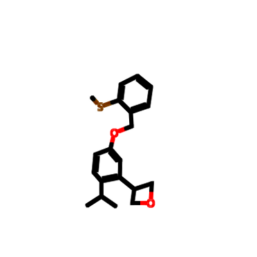 CSc1ccccc1COc1ccc(C(C)C)c(C2COC2)c1